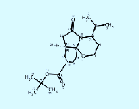 CC(C)[C@H]1CCO[C@]23CCN(C(=O)OC(C)(C)C)C[C@H]2CC(=O)N13